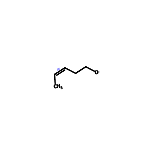 C/C=C\CC[O]